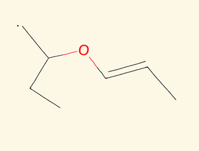 [CH2]C(CC)OC=CC